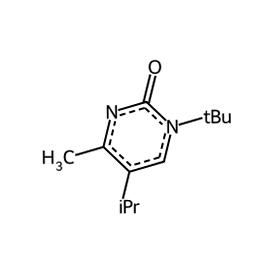 Cc1nc(=O)n(C(C)(C)C)cc1C(C)C